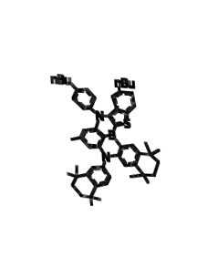 CCCCc1ccc(N2c3cc(C)cc4c3B(c3cc5c(cc3N4c3ccc4c(c3)C(C)(C)CCC4(C)C)C(C)(C)CCC5(C)C)c3sc4ccc(CCCC)cc4c32)cc1